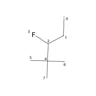 [CH2]CC(F)C(C)(C)C